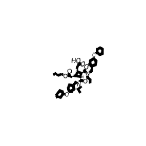 CCCCOC(=O)C[C@@H]1[C@@H](CC(=O)O)[C@@H](C(=O)N(CCC)Cc2ccc(Oc3ccccc3)cc2)[C@@H]1C(=O)N(CCC)Cc1ccc(Oc2ccccc2)cc1